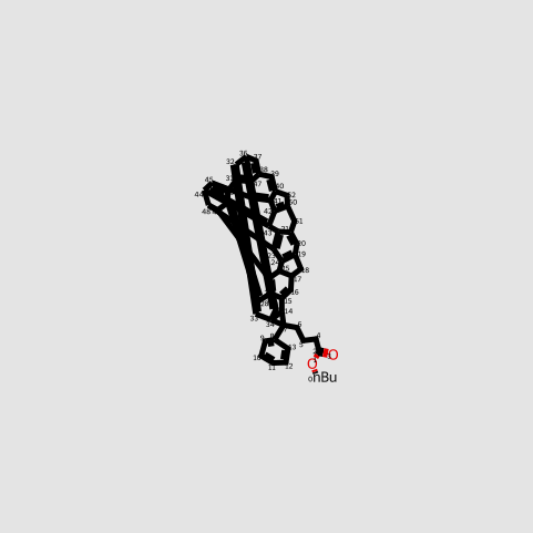 CCCCOC(=O)CCCC1(c2ccccc2)C2C3=CC4Cc5cc6c7c8c5C4C4=C3c3c5c9c%10c%11c3C21C=c%11cc1cc2c3c(c-7c(c=9c3c1%10)C8C45)=C(C6)C2